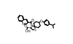 CC(C)c1ccc(OC2CCC3(CC2)SC[C@@H](C(=O)O)N3C(=O)c2cnc3ccccc3c2)cc1